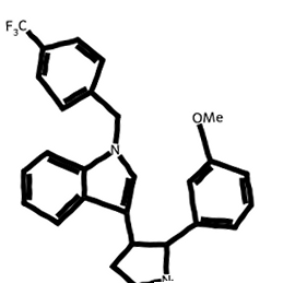 COc1cccc(C2[N]CCC2c2cn(Cc3ccc(C(F)(F)F)cc3)c3ccccc23)c1